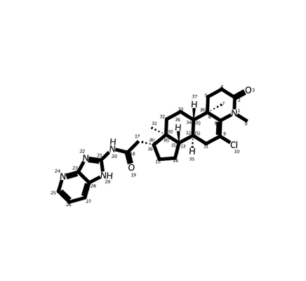 CN1C(=O)CC[C@@]2(C)C1=C(Cl)C[C@H]1[C@@H]3CC[C@H](CC(=O)Nc4nc5ncccc5[nH]4)[C@@]3(C)CC[C@@H]12